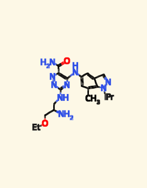 CCOC[C@H](N)CNc1nnc(C(N)=O)c(Nc2cc(C)c3c(cnn3C(C)C)c2)n1